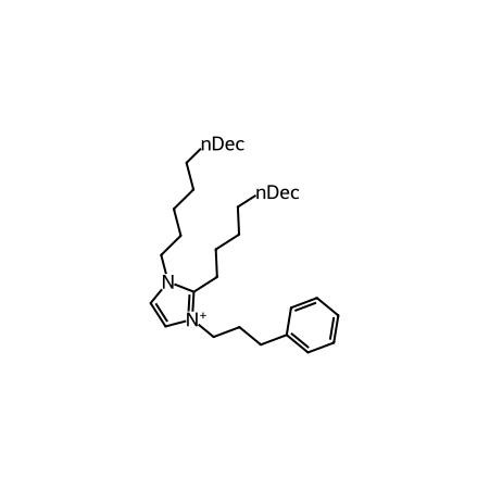 CCCCCCCCCCCCCCCn1cc[n+](CCCc2ccccc2)c1CCCCCCCCCCCCCC